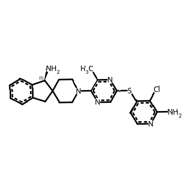 Cc1nc(Sc2ccnc(N)c2Cl)cnc1N1CCC2(CC1)Cc1ccccc1[C@H]2N